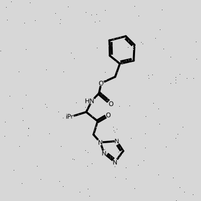 CC(C)C(NC(=O)OCc1ccccc1)C(=O)Cn1ncnn1